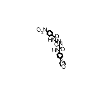 O=C(Nc1nnc(C(=O)Nc2ccc(N3CCOCC3)cc2)o1)c1ccc([N+](=O)[O-])cc1